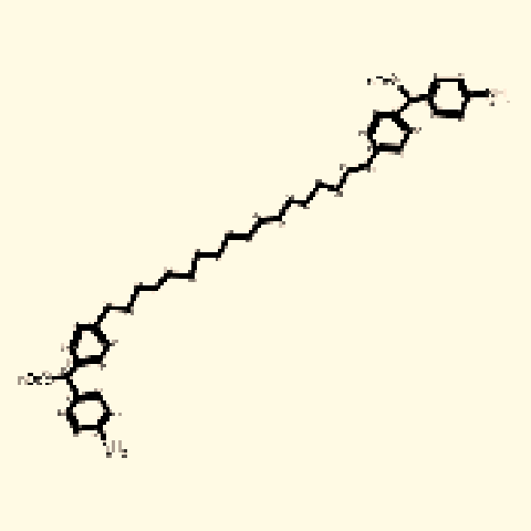 CCCCCCCCCCC(c1ccc(N)cc1)c1ccc(CCCCCCCCCCCCCCCCCCc2ccc(C(CCCCCCCCCC)c3ccc(N)cc3)cc2)cc1